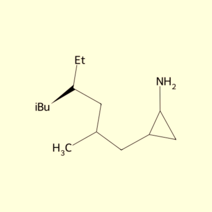 CCC(CC(C)CC1CC1N)[C@H](C)CC